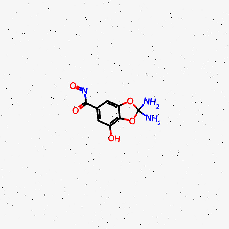 NC1(N)Oc2cc(C(=O)N=O)cc(O)c2O1